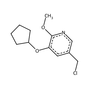 COc1ncc(CCl)cc1OC1CCCC1